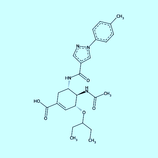 CCC(CC)O[C@@H]1C=C(C(=O)O)C[C@H](NC(=O)c2cnn(-c3ccc(C)cc3)c2)[C@H]1NC(C)=O